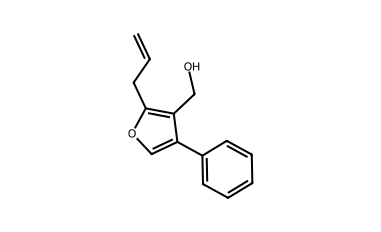 C=CCc1occ(-c2ccccc2)c1CO